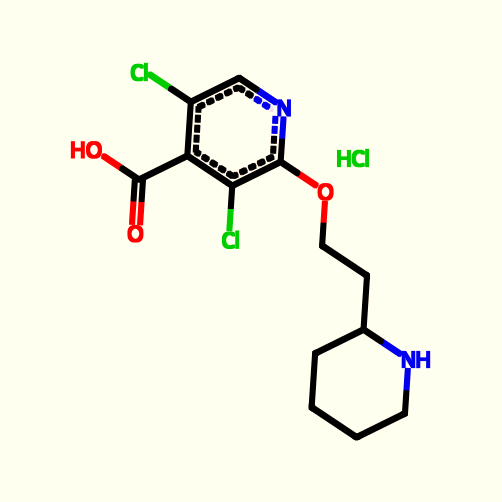 Cl.O=C(O)c1c(Cl)cnc(OCCC2CCCCN2)c1Cl